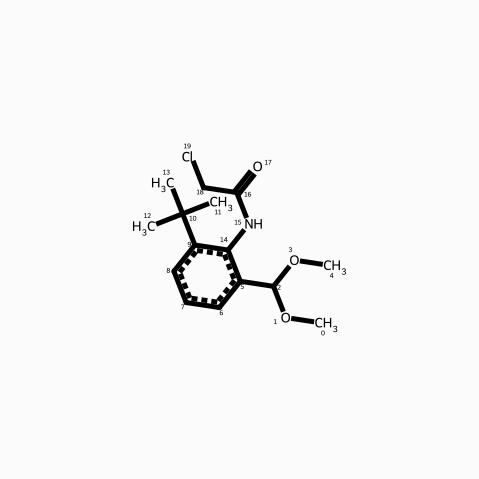 COC(OC)c1cccc(C(C)(C)C)c1NC(=O)CCl